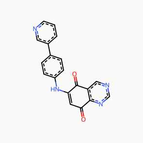 O=C1C(Nc2ccc(-c3cccnc3)cc2)=CC(=O)c2ncncc21